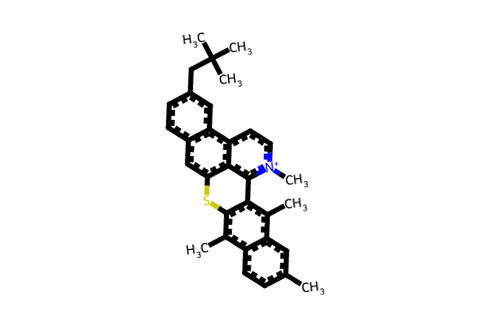 Cc1ccc2c(C)c3c(c(C)c2c1)-c1c2c(cc4ccc(CC(C)(C)C)cc4c2cc[n+]1C)S3